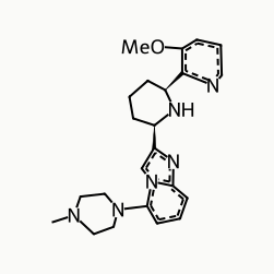 COc1cccnc1[C@@H]1CCC[C@H](c2cn3c(N4CCN(C)CC4)cccc3n2)N1